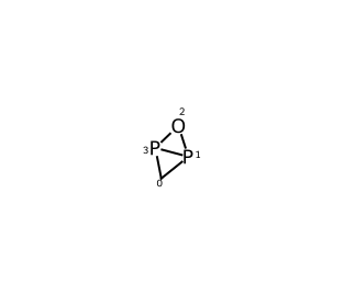 C1p2op21